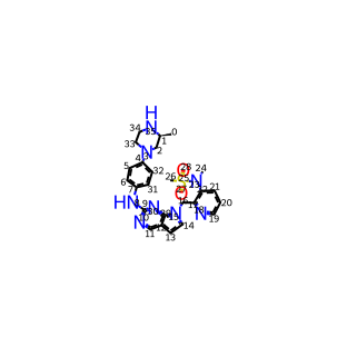 C[C@H]1CN(c2ccc(Nc3ncc4ccn(Cc5ncccc5N(C)S(C)(=O)=O)c4n3)cc2)CCN1